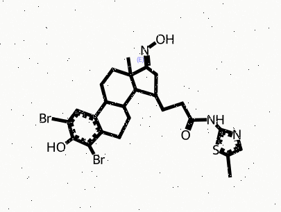 Cc1cnc(NC(=O)CCC2C/C(=N\O)C3(C)CCC4c5cc(Br)c(O)c(Br)c5CCC4C23)s1